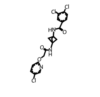 O=C(COc1ccc(Cl)cn1)NC12CC(NC(=O)c3ccc(Cl)c(Cl)c3)(C1)C2